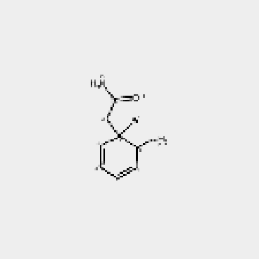 CC1C=CC=CC1(Br)CC(N)=O